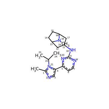 Cc1ncc(-c2ccnc(NC3CC4CCC(C3)N4C)n2)n1C(C)C